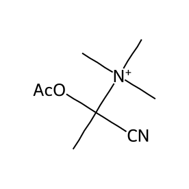 CC(=O)OC(C)(C#N)[N+](C)(C)C